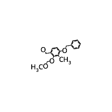 COCOc1c(C=O)ccc(OCc2ccccc2)c1C